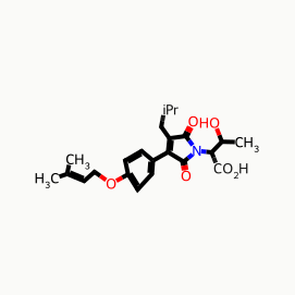 CC(C)=CCOc1ccc(C2=C(CC(C)C)C(=O)N(C(C(=O)O)C(C)O)C2=O)cc1